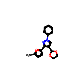 O=[N+]([O-])c1ccc(-c2nn(-c3ccccc3)cc2C2OCCO2)o1